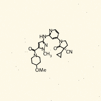 COC1CCN(C(=O)c2cc(Nc3cc(N4CC[C@@](C#N)(C5CC5)C4=O)ccn3)nn2C)CC1